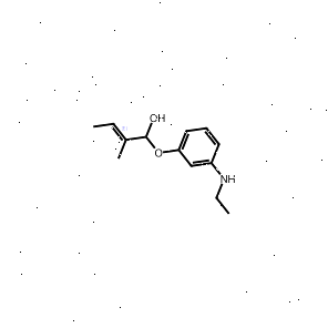 C/C=C(\C)C(O)Oc1cccc(NCC)c1